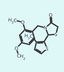 COc1ccc(CN2C(=O)CSC2c2sccc2C)c(OC)c1